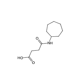 O=C(O)CCC(=O)NC1CCCCCC1